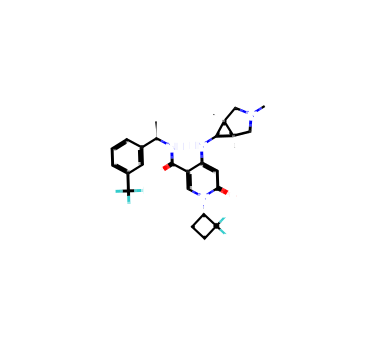 C[C@@H](NC(=O)c1cn([C@H]2CCC2(F)F)c(=O)cc1NC1[C@H]2CN(C)C[C@@H]12)c1cccc(C(F)(F)F)c1